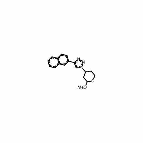 COC1CC(n2cc(-c3ccc4ccccc4c3)nn2)CCO1